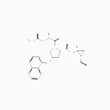 C=C[C@@H]1C[C@]1(NC(=O)[C@@H]1C[C@@H](Oc2cccc3ccccc23)CN1C(=O)[C@H](CC)NC(=O)OC(C)(C)C)C(=O)O